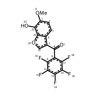 COc1ccc2c(C(=O)c3c(F)c(F)c(F)c(F)c3F)coc2c1O